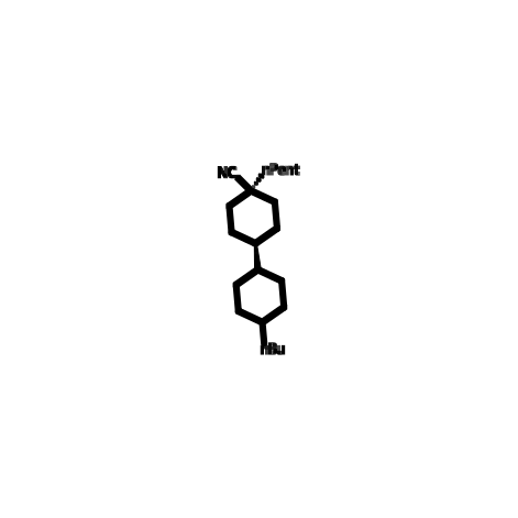 CCCCC[C@]1(C#N)CC[C@@H](C2CCC(CCCC)CC2)CC1